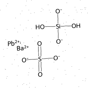 O=S(=O)([O-])[O-].[Ba+2].[O-][Si]([O-])(O)O.[Pb+2]